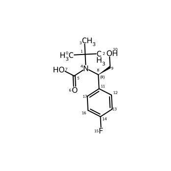 CC(C)(C)N(C(=O)O)[C@@H](CO)c1ccc(F)cc1